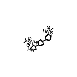 CC(C)S(=O)(=O)NC1CNCC1c1ccc(-c2cccc(NS(C)(=O)=O)c2)cc1